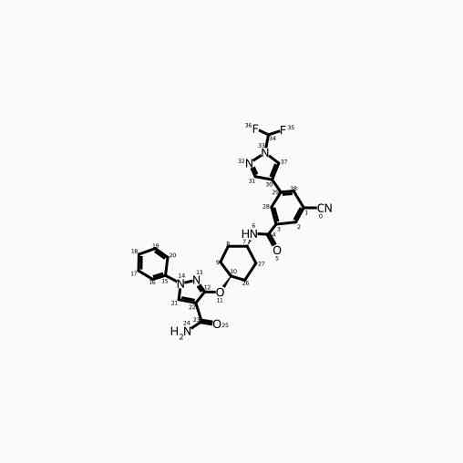 N#Cc1cc(C(=O)N[C@H]2CC[C@H](Oc3nn(-c4ccccc4)cc3C(N)=O)CC2)cc(-c2cnn(C(F)F)c2)c1